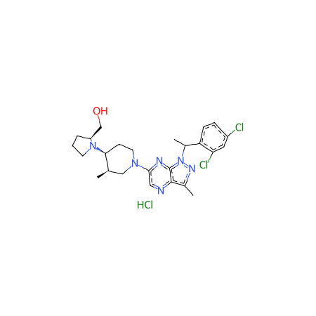 Cc1nn(C(C)c2ccc(Cl)cc2Cl)c2nc(N3CC[C@H](N4CCC[C@H]4CO)[C@H](C)C3)cnc12.Cl